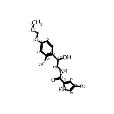 COCOc1ccc(C(O)CNC(=O)c2cc(Br)c[nH]2)c(F)c1